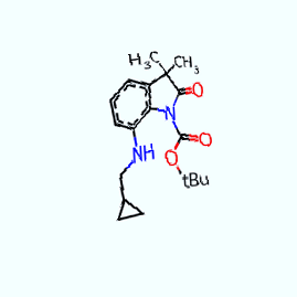 CC(C)(C)OC(=O)N1C(=O)C(C)(C)c2cccc(NCC3CC3)c21